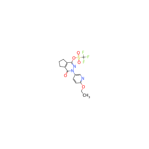 CCOc1ccc(-n2nc(OS(=O)(=O)C(F)(F)F)c3c(c2=O)CCC3)cn1